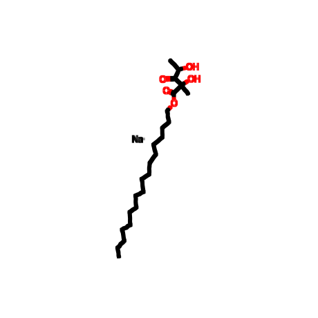 CCCCCCCCCCCCCCCCCCOC(=O)C(C)(O)C(=O)C(C)O.[Na]